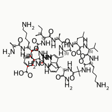 CC[C@H](C)[C@H](NC(=O)[C@H](Cc1ccccc1)NC(=O)[C@H](CCC(=O)O)NC(=O)[C@H](CCCCN)NC(=O)[C@H](C)N)C(=O)N[C@@H](C)C(=O)N[C@@H](Cc1c[nH]c2ccccc12)C(=O)N[C@@H](CC(C)C)C(=O)N[C@H](C(=O)N[C@@H](CCCCN)C(=O)NC(C)(C)C(=O)N[C@@H](CCCNC(=N)N)C(N)=O)C(C)C